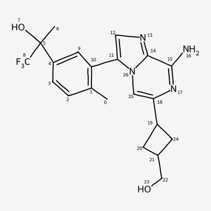 Cc1ccc(C(C)(O)C(F)(F)F)cc1-c1cnc2c(N)nc(C3CC(CO)C3)cn12